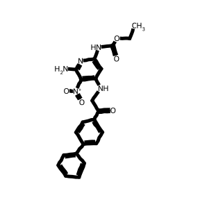 CCOC(=O)Nc1cc(NCC(=O)c2ccc(-c3ccccc3)cc2)c([N+](=O)[O-])c(N)n1